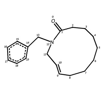 O=C1CCCCCCC/C=C/CN1Cc1ccccc1